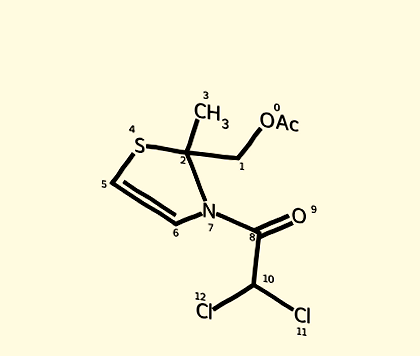 CC(=O)OCC1(C)SC=CN1C(=O)C(Cl)Cl